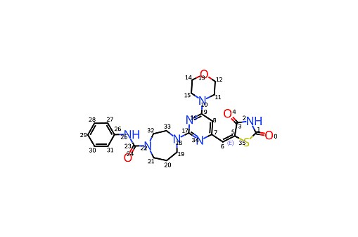 O=C1NC(=O)/C(=C\c2cc(N3CCOCC3)nc(N3CCCN(C(=O)Nc4ccccc4)CC3)n2)S1